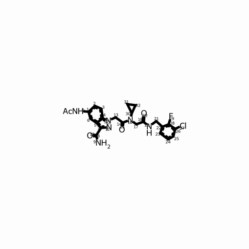 CC(=O)Nc1ccc2c(c1)c(C(N)=O)nn2CC(=O)N(CC(=O)NCc1cccc(Cl)c1F)C1CC1